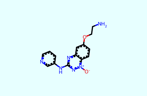 NCCOc1ccc2c(c1)nc(Nc1cccnc1)n[n+]2[O-]